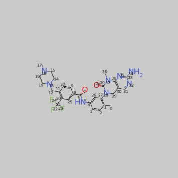 Cc1ccc(NC(=O)c2ccc(CN3CCN(C)CC3)c(C(F)(F)F)c2)cc1N1Cc2cnc(N)nc2N(C)C1=O